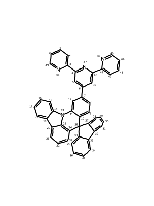 c1ccc(-c2cc(-c3ccc4c(c3)-n3c5ccccc5c5cccc(c53)C43c4ccccc4-c4ccccc43)cc(-c3ccccn3)n2)nc1